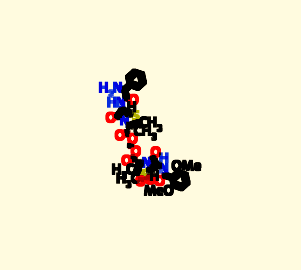 COc1cccc(OC)c1C(=O)N[C@@H]1C(=O)N2[C@@H](C(=O)OCOC(=O)[C@@H]3N4C(=O)C(NC(=O)C(N)c5ccccc5)[C@H]4SC3(C)C)C(C)(C)S(=O)(=O)[C@H]12